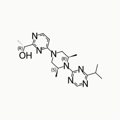 CC(C)c1ncnc(N2[C@H](C)CN(c3ccnc([C@@H](C)O)n3)C[C@@H]2C)n1